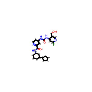 O=C(Nc1ccnc(C(=O)NC2CCCC(C3CCCC3)C2)c1)Nc1cc(F)ncc1CO